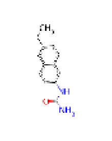 CCc1ccc2cc(NC(N)=O)ccc2c1